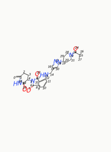 C=C1CCC(N2C(=O)c3cccc(NCc4cnn(C5CCN(C(=O)C(C)C)CC5)c4)c3C2=O)C(=O)N1